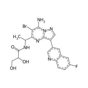 CC(NC(=O)C(O)CO)c1nc2c(-c3cnc4ccc(F)cc4c3)cnn2c(N)c1Br